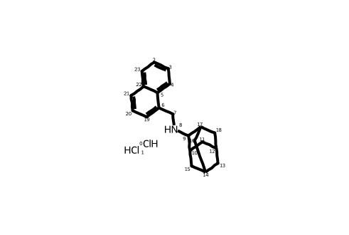 Cl.Cl.c1ccc2c(CNC3C4CC5CC(C4)CC3C5)cccc2c1